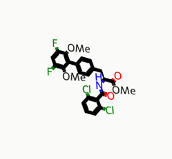 COC(=O)[C@H](Cc1ccc(-c2c(OC)c(F)cc(F)c2OC)cc1)NC(=O)c1c(Cl)cccc1Cl